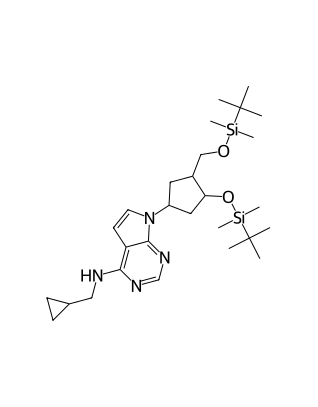 CC(C)(C)[Si](C)(C)OCC1CC(n2ccc3c(NCC4CC4)ncnc32)CC1O[Si](C)(C)C(C)(C)C